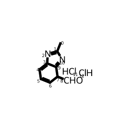 CC1=NC2=CC=CC(C=O)C2=N1.Cl.Cl